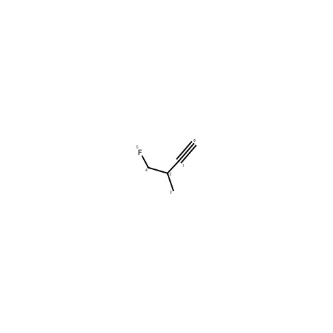 C#CC(C)CF